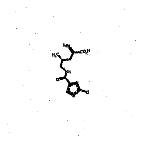 C[C@@H](CNC(=O)c1csc(Cl)n1)CC(=N)C(=O)O